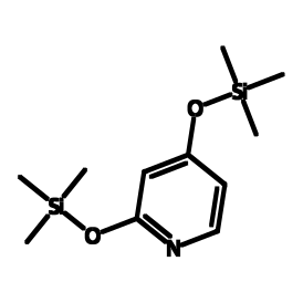 C[Si](C)(C)Oc1ccnc(O[Si](C)(C)C)c1